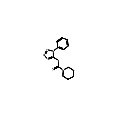 O=C(Sc1nnnn1-c1ccccc1)N1CCCCC1